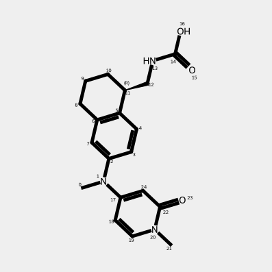 CN(c1ccc2c(c1)CCC[C@H]2CNC(=O)O)c1ccn(C)c(=O)c1